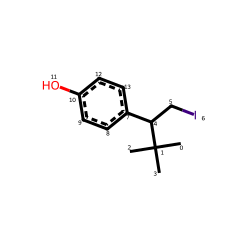 CC(C)(C)C(CI)c1ccc(O)cc1